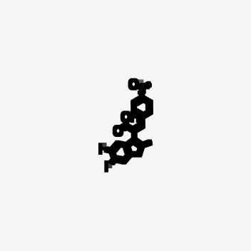 CC1=C(C(=Cc2ccc([S+](C)[O-])cc2)C(=O)O)c2cc(F)c(F)cc2C1